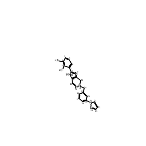 Fc1cccc(-c2nc3c([nH]2)C=NN(Cc2cccc(-n4cccn4)c2)C3)c1F